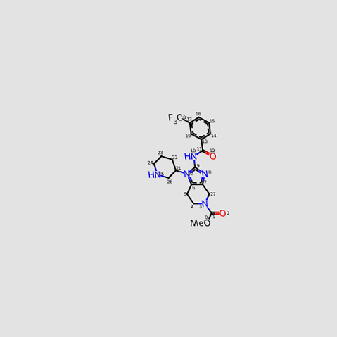 COC(=O)N1CCc2c(nc(NC(=O)c3cccc(C(F)(F)F)c3)n2C2CCCNC2)C1